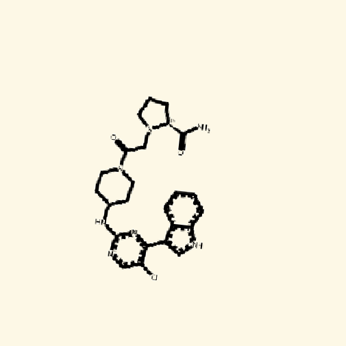 NC(=O)[C@@H]1CCCN1CC(=O)N1CCC(Nc2ncc(Cl)c(-c3c[nH]c4ccccc34)n2)CC1